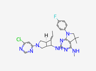 C/C=C1/C(Nc2nc(NC)c3c(n2)N(c2ccc(F)cc2)CC3(C)C)C2CN(c3cc(Cl)ncn3)C[C@@H]12